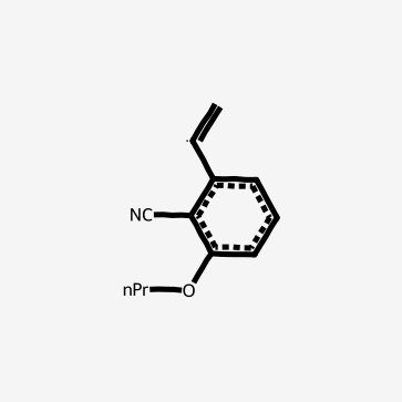 C=[C]c1cccc(OCCC)c1C#N